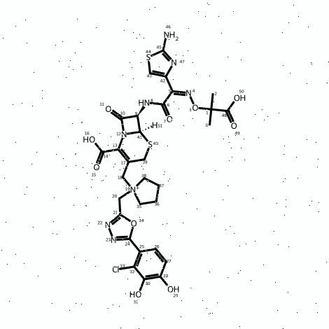 CC(C)(O/N=C(\C(=O)N[C@@H]1C(=O)N2C(C(=O)O)=C(C[N+]3(Cc4nnc(-c5ccc(O)c(O)c5Cl)o4)CCCC3)CS[C@H]12)c1csc(N)n1)C(=O)O